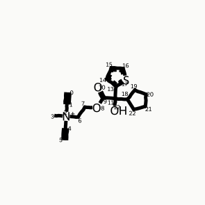 C#C[N+](C)(C#C)CCOC(=O)C(O)(c1cccs1)C1CCCC1